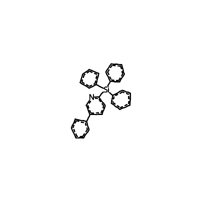 c1ccc(-c2ccc([Si](c3ccccc3)(c3ccccc3)c3ccccc3)nc2)cc1